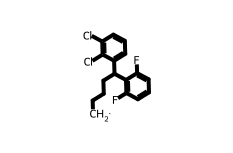 [CH2]CCCC(c1cccc(Cl)c1Cl)c1c(F)cccc1F